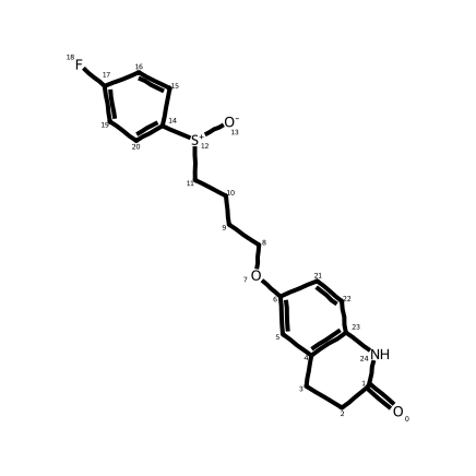 O=C1CCc2cc(OCCCC[S+]([O-])c3ccc(F)cc3)ccc2N1